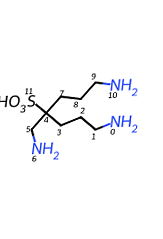 NCCCC(CN)(CCCN)S(=O)(=O)O